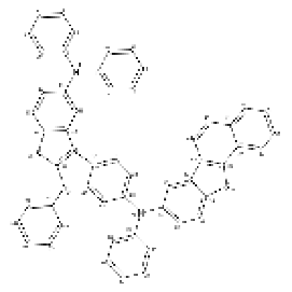 c1ccc(N(c2ccccc2)c2ccc3sc4c(c3c2)c2ccc(N(c3ccccc3)c3ccc5sc6c7ccccc7ccc6c5c3)cc2n4-c2ccccc2)cc1